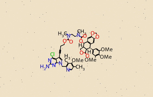 COc1cc([C@@H]2c3cc4c(cc3[C@H](OC(=O)N(C)CCN(C)C(=O)OCCC#Cc3cn(Cc5ncc(C)c(OC)c5C)c5nc(N)nc(Cl)c35)[C@@H]3COC(=O)[C@H]23)OCO4)cc(OC)c1OC